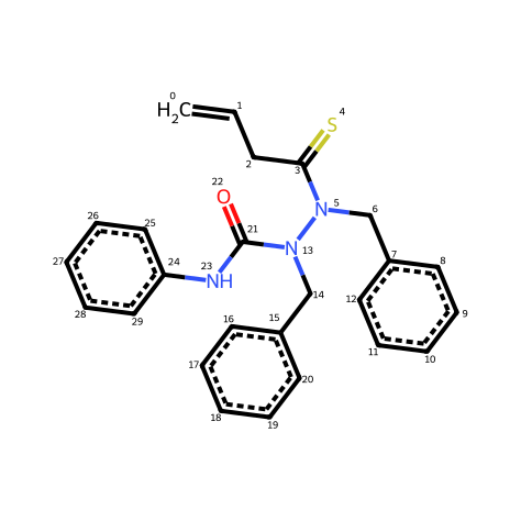 C=CCC(=S)N(Cc1ccccc1)N(Cc1ccccc1)C(=O)Nc1ccccc1